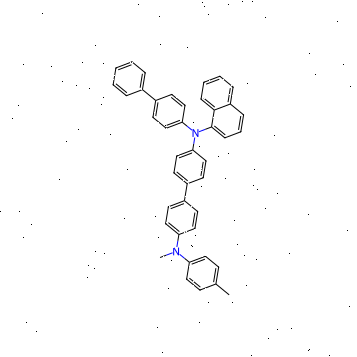 Cc1ccc(N(C)c2ccc(-c3ccc(N(c4ccc(-c5ccccc5)cc4)c4cccc5ccccc45)cc3)cc2)cc1